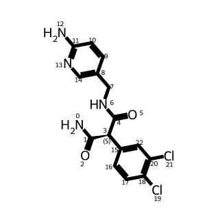 NC(=O)[C@@H](C(=O)NCc1ccc(N)nc1)c1ccc(Cl)c(Cl)c1